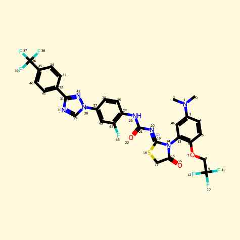 CN(C)c1ccc(OCC(F)(F)F)c(N2C(=O)CS/C2=N\C(=O)Nc2ccc(-n3cnc(-c4ccc(C(F)(F)F)cc4)n3)cc2F)c1